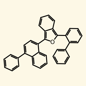 c1ccc(-c2ccccc2-c2oc(-c3ccc(-c4ccccc4)c4ccccc34)c3ccccc23)cc1